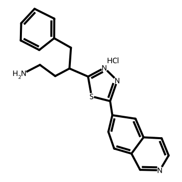 Cl.NCCC(Cc1ccccc1)c1nnc(-c2ccc3cnccc3c2)s1